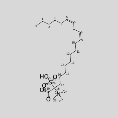 CCCCC/C=C\C/C=C\CCCCCCCCC(C(=O)[O-])([N+](C)(C)C)S(=O)(=O)O